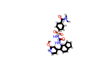 COc1cc(-c2ccc3c(c2NC(=O)NS(=O)(=O)c2ccc(C(=O)N(C)C)cc2)CCC3)ccn1